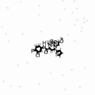 COCCN1[C@H](c2cccs2)C[C@H](C(=O)Nc2ccc(F)c(Cl)c2)N(C)S1(=O)=O